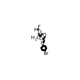 C[C@@]1(COC(F)F)COCC(COc2ccc(Br)cc2)O1